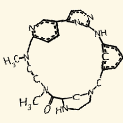 CN1CCN(C)c2ccc(cn2)-c2ccnc(n2)Nc2cccc(c2)CN2CCNC(C2)C1=O